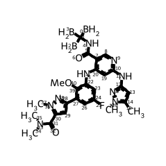 BC(B)(B)NC(=O)c1cnc(Nc2cc(C)n(C)n2)cc1Nc1cc(F)cc(-c2cc(C(=O)N(C)C)n(C)n2)c1OC